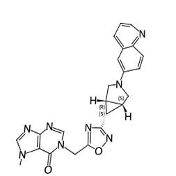 Cn1cnc2ncn(Cc3nc([C@@H]4[C@@H]5CN(c6ccc7ncccc7c6)C[C@@H]54)no3)c(=O)c21